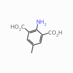 Cc1cc(C(=O)O)c(N)c(C(=O)O)c1